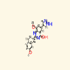 COc1ccc2c(c1)CC(c1nc(O)c3cc(C4C=NNC4)cc(OC)c3n1)CC2